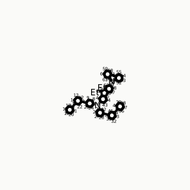 CCC1(CC)c2cc(N(c3ccc(-c4cccc(-c5ccccc5)c4)cc3)c3cccc(-c4cccc(-c5ccccc5)c4)c3)ccc2-c2ccc(-n3c4ccccc4c4ccccc43)cc21